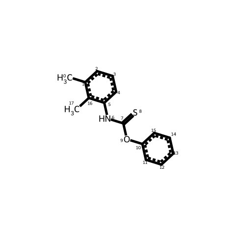 Cc1cccc(NC(=S)Oc2ccccc2)c1C